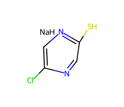 Sc1cnc(Cl)cn1.[NaH]